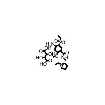 CCN1CCC[C@H]1CNC(=O)c1cc(S(=O)(=O)CC)c(N)cc1OC.O=C(O)C(O)C(O)C(=O)O